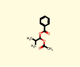 CC(=O)OC(OC(=O)c1ccccc1)C(C)C